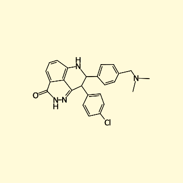 CN(C)Cc1ccc(C2Nc3cccc4c(=O)[nH]nc(c34)C2c2ccc(Cl)cc2)cc1